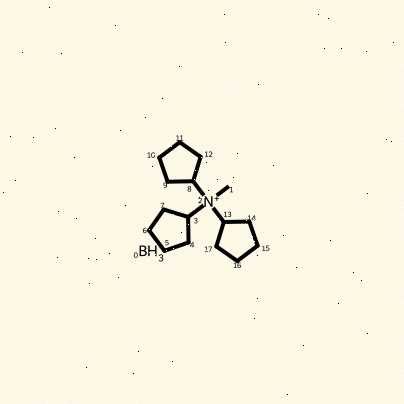 B.C[N+](C1CCCC1)(C1CCCC1)C1CCCC1